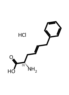 Cl.N[C@@H](CC=CCc1ccccc1)C(=O)O